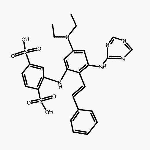 CCN(CC)c1cc(Nc2ncncn2)c(C=Cc2ccccc2)c(Nc2cc(S(=O)(=O)O)ccc2S(=O)(=O)O)c1